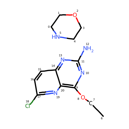 C1COCCN1.CCOc1nc(N)nc2ccc(Cl)nc12